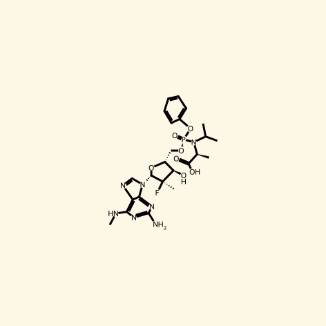 CNc1nc(N)nc2c1ncn2[C@@H]1O[C@H](CO[P@](=O)(Oc2ccccc2)N(C(C)C)[C@@H](C)C(=O)O)[C@@H](O)[C@@]1(C)F